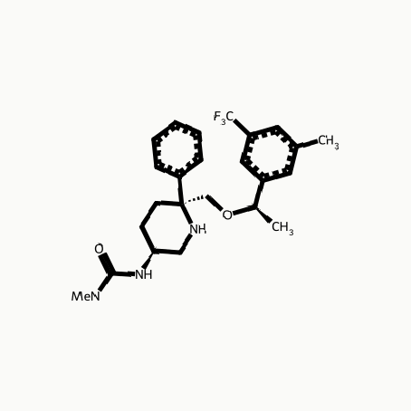 CNC(=O)N[C@H]1CC[C@@](CO[C@H](C)c2cc(C)cc(C(F)(F)F)c2)(c2ccccc2)NC1